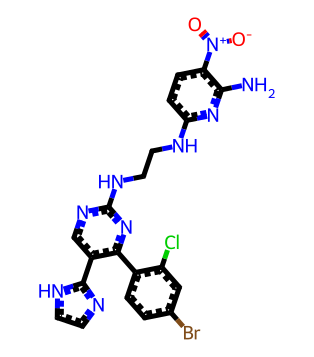 Nc1nc(NCCNc2ncc(-c3ncc[nH]3)c(-c3ccc(Br)cc3Cl)n2)ccc1[N+](=O)[O-]